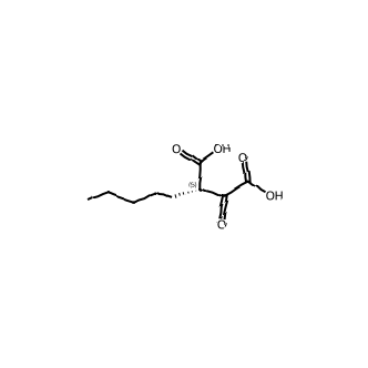 CCCCC[C@H](C(=O)O)C(=O)C(=O)O